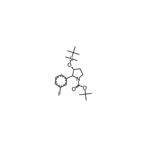 CC(C)(C)OC(=O)N1CC[C@H](O[Si](C)(C)C(C)(C)C)C1c1cccc(F)c1